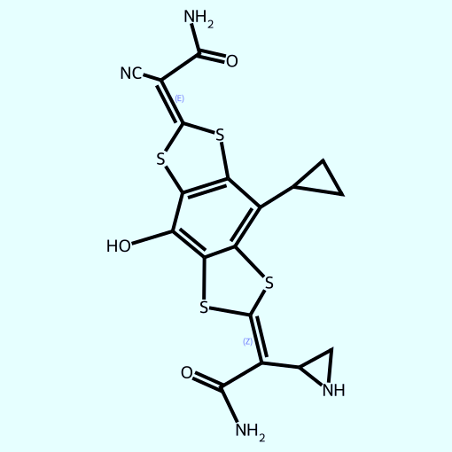 N#C/C(C(N)=O)=C1\Sc2c(O)c3c(c(C4CC4)c2S1)S/C(=C(/C(N)=O)C1CN1)S3